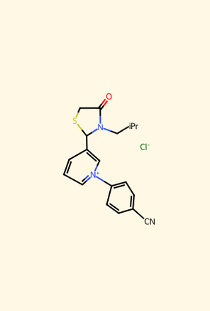 CC(C)CN1C(=O)CSC1c1ccc[n+](-c2ccc(C#N)cc2)c1.[Cl-]